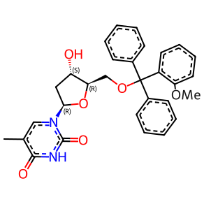 COc1ccccc1C(OC[C@H]1O[C@@H](n2cc(C)c(=O)[nH]c2=O)C[C@@H]1O)(c1ccccc1)c1ccccc1